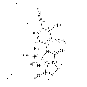 Cc1c(N2C(=O)N3CCC(=O)[C@H]3C2C(F)(F)F)ccc(C#N)c1Cl